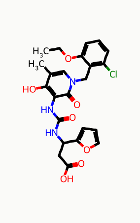 CCOc1cccc(Cl)c1Cn1cc(C)c(O)c(NC(=O)NC(CC(=O)O)c2ccco2)c1=O